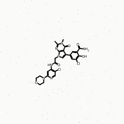 Cc1nc2c(c(-c3cc(Cl)c(O)c(C(N)=O)c3)cn2CC(=O)Nc2cc(N3CCOCC3)ncc2Cl)c(=O)n1C